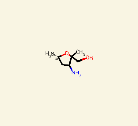 B[C@H]1CC(N)C(C)(CO)O1